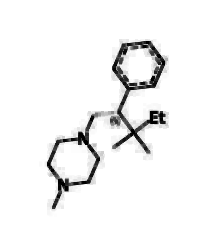 CCC(C)(C)[C@H](CN1CCN(C)CC1)c1ccccc1